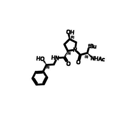 CC(=O)N[C@H](C(=O)N1C[C@H](O)C[C@H]1C(=O)NC[C@@H](O)c1ccccc1)C(C)(C)C